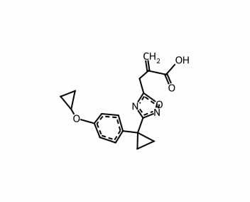 C=C(Cc1nc(C2(c3ccc(OC4CC4)cc3)CC2)no1)C(=O)O